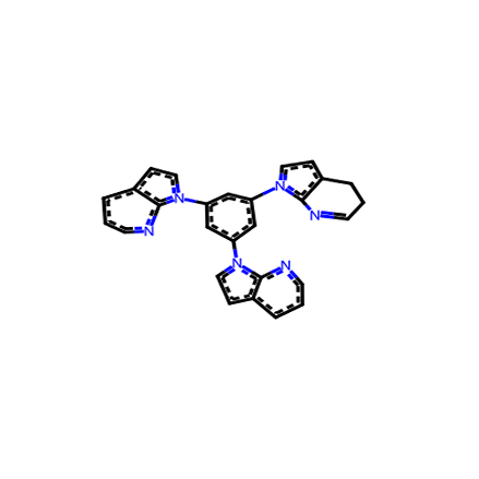 C1=Nc2c(ccn2-c2cc(-n3ccc4cccnc43)cc(-n3ccc4cccnc43)c2)CC1